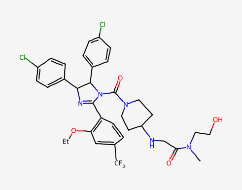 CCOc1cc(C(F)(F)F)ccc1C1=NC(c2ccc(Cl)cc2)C(c2ccc(Cl)cc2)N1C(=O)N1CCC(NCC(=O)N(C)CCO)CC1